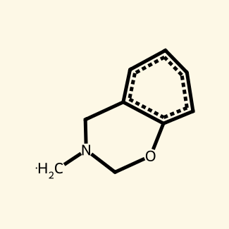 [CH2]N1COc2ccccc2C1